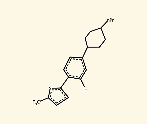 CCCC1CCC(c2ccc(-c3ccc(C(F)(F)F)s3)c(F)c2)CC1